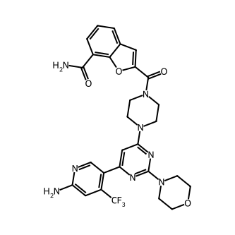 NC(=O)c1cccc2cc(C(=O)N3CCN(c4cc(-c5cnc(N)cc5C(F)(F)F)nc(N5CCOCC5)n4)CC3)oc12